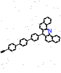 C#Cc1ccc(-c2ccc(-c3ccc(-c4c5ccc6ccccc6c5nc5c4ccc4ccccc45)cc3)cc2)cc1